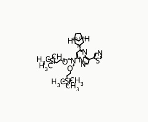 C[Si](C)(C)CCOCN(COCC[Si](C)(C)C)c1cc([C@H]2C[C@@H]3CC[C@@H](C3)C2)nc2c(-c3cncs3)cnn12